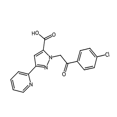 O=C(Cn1nc(-c2ccccn2)cc1C(=O)O)c1ccc(Cl)cc1